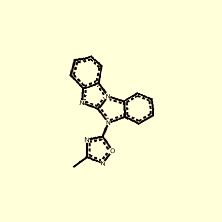 Cc1noc(-n2c3ccccc3n3c4ccccc4nc23)n1